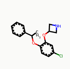 CC(Oc1ccc(Cl)cc1OC1CNC1)c1ccccc1